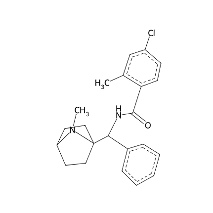 Cc1cc(Cl)ccc1C(=O)NC(c1ccccc1)C12CCC(CC1)N2C